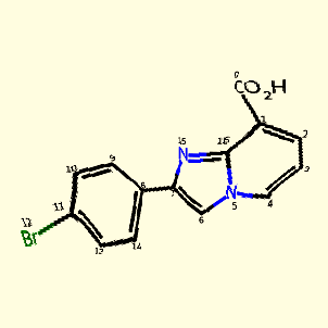 O=C(O)c1cccn2cc(-c3ccc(Br)cc3)nc12